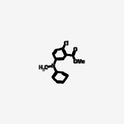 COC(=O)c1cc(N(C)c2ccccc2)ccc1Cl